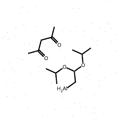 CC(=O)CC(C)=O.CC(C)OC([CH2][AlH2])OC(C)C